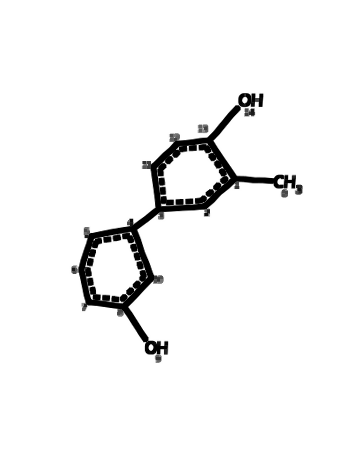 Cc1cc(-c2[c]ccc(O)c2)ccc1O